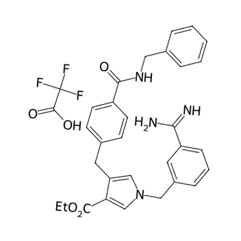 CCOC(=O)c1cn(Cc2cccc(C(=N)N)c2)cc1Cc1ccc(C(=O)NCc2ccccc2)cc1.O=C(O)C(F)(F)F